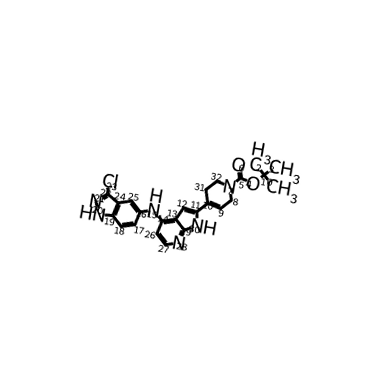 CC(C)(C)OC(=O)N1CC=C(c2cc3c(Nc4ccc5[nH]nc(Cl)c5c4)ccnc3[nH]2)CC1